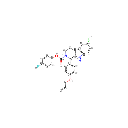 C=CCOc1ccc(C2c3[nH]c4ccc(Cl)cc4c3CCN2C(=O)Oc2ccc(F)cc2)cc1